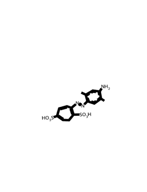 Cc1cc(N=NC2=C(S(=O)(=O)O)CC=C(S(=O)(=O)O)C=C2)c(C)cc1N